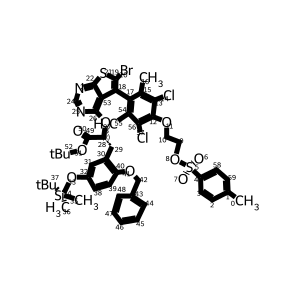 Cc1ccc(S(=O)(=O)OCCOc2c(Cl)c(C)c(-c3c(Br)sc4ncnc(O[C@H](Cc5cc(O[Si](C)(C)C(C)(C)C)ccc5OCc5ccccc5)C(=O)OC(C)(C)C)c34)c(C)c2Cl)cc1